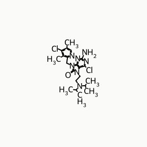 Cc1cnc(Cn2c(=O)n(CCN(C(C)C)C(C)C)c3c(Cl)nc(N)nc32)c(C)c1Cl